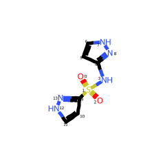 O=S(=O)(Nc1cc[nH]n1)c1cc[nH]n1